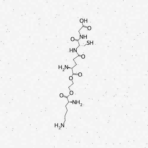 NCCCC[C@H](N)C(=O)OCCOC(=O)[C@@H](N)CCC(=O)N[C@@H](CS)C(=O)NCC(=O)O